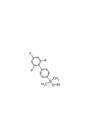 CCO[Si](C)(C)c1ccc(-c2c(F)cc(F)cc2F)cc1